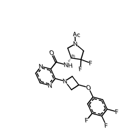 CC(=O)N1C[C@@H](NC(=O)c2nccnc2N2CC(Oc3cc(F)c(F)c(F)c3)C2)C(F)(F)C1